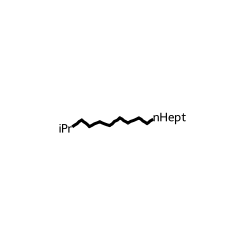 [CH2]CCCCCCCCCCCCCCC(C)C